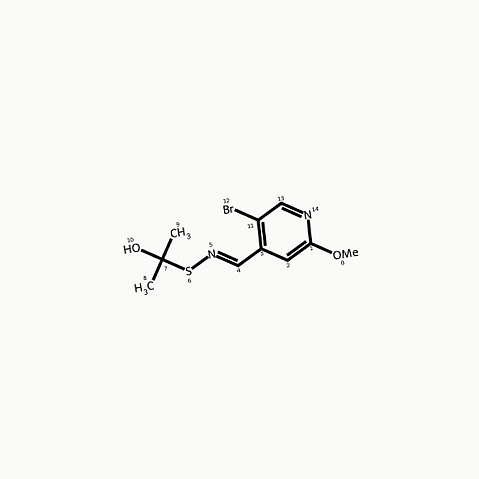 COc1cc(/C=N/SC(C)(C)O)c(Br)cn1